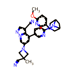 COc1ccc(CN2C3CC2CN(c2ccc(-c4cc(N5CC(C)(C#N)C5)cn5ncc(C#N)c45)cn2)C3)cn1